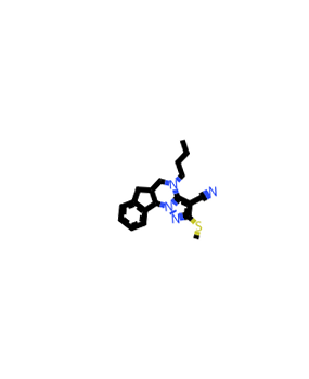 CCCCN1CC2Cc3ccccc3C2n2nc(SC)c(C#N)c21